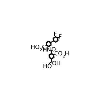 O=C(O)c1ccc(-c2ccc(F)c(F)c2)cc1NC(=O)c1ccc(C(O)CO)cc1C(=O)O